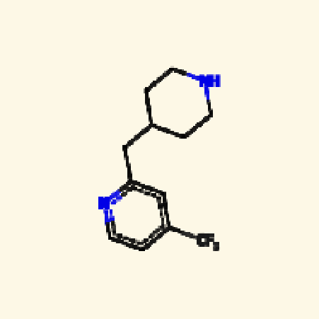 FC(F)(F)c1ccnc(CC2CCNCC2)c1